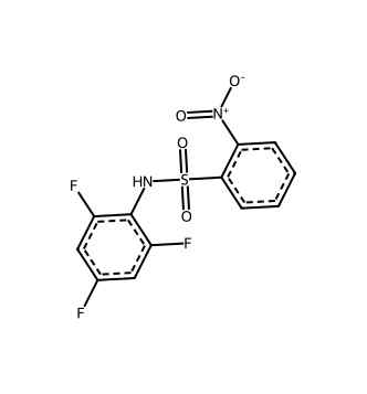 O=[N+]([O-])c1ccccc1S(=O)(=O)Nc1c(F)cc(F)cc1F